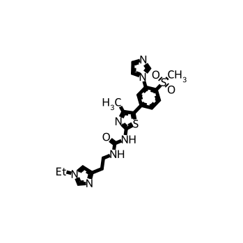 CCn1cnc(CCNC(=O)Nc2nc(C)c(-c3ccc(S(C)(=O)=O)c(-n4ccnc4)c3)s2)c1